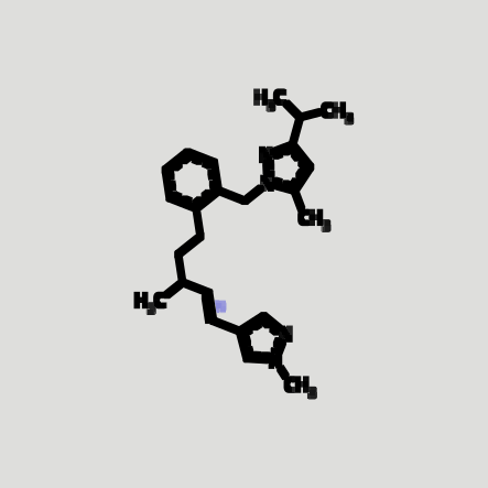 Cc1cc(C(C)C)nn1Cc1ccccc1CCC(C)/C=C/c1cnn(C)c1